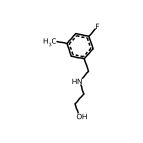 Cc1cc(F)cc(CNCCO)c1